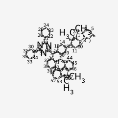 CC1(C)c2ccccc2-c2ccc(-c3ccc4c(-c5nc(-c6ccccc6)nc(-c6ccccc6)n5)c5ccccc5c(-c5cccc6c5-c5ccccc5C6(C)C)c4c3)cc21